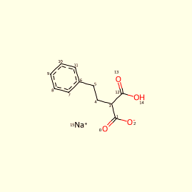 O=C([O-])C(CCc1ccccc1)C(=O)O.[Na+]